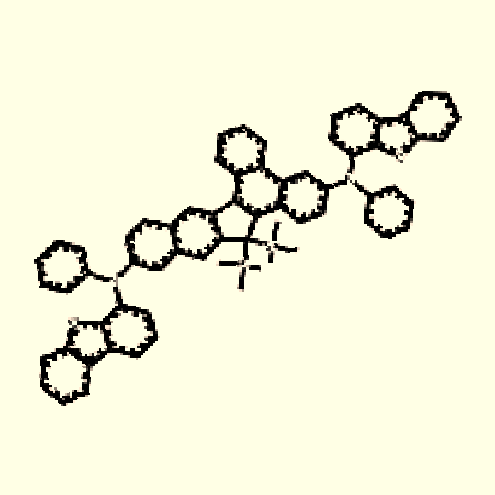 C[Si](C)(C)C1([Si](C)(C)C)c2cc3cc(N(c4ccccc4)c4cccc5c4oc4ccccc45)ccc3cc2-c2c1c1ccc(N(c3ccccc3)c3cccc4c3oc3ccccc34)cc1c1ccccc21